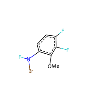 COc1c(N(F)Br)ccc(F)c1F